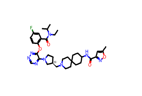 CCN(C(=O)c1cc(F)ccc1Oc1nncnc1N1CC[C@@H](CN2CCC3(CCC(NC(=O)c4cc(C)on4)CC3)CC2)C1)C(C)C